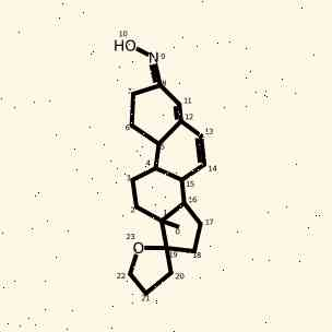 CC12CCC3C4CC/C(=N\O)C=C4C=CC3C1CCC21CCCO1